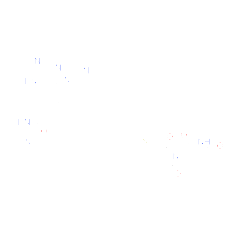 Nc1nccn2c([C@@H]3CCCN3CCCCCCCCCSc3cccc4c3C(=O)N(C3CCC(=O)NC3=O)C4=O)nc(-c3ccc(C(=O)Nc4ccccn4)cc3)c12